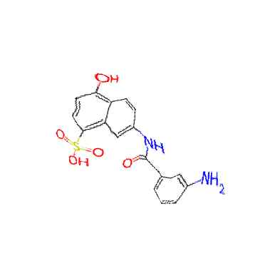 Nc1cccc(C(=O)Nc2ccc3c(O)ccc(S(=O)(=O)O)c3c2)c1